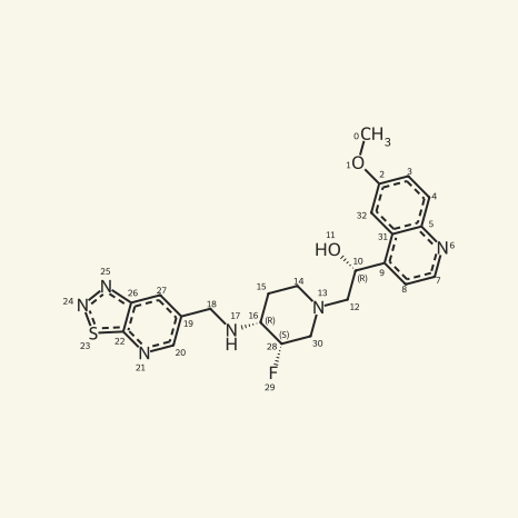 COc1ccc2nccc([C@@H](O)CN3CC[C@@H](NCc4cnc5snnc5c4)[C@@H](F)C3)c2c1